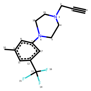 C#CCN1CCN(c2cc(C)cc(C(F)(F)F)c2)CC1